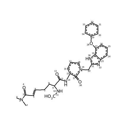 CN(C)C(=O)C=CCCC(NC(=O)O)C(=O)Nc1cccn(Cc2nc3cccc(Oc4ccccc4)c3[nH]2)c1=O